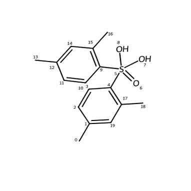 Cc1ccc(S(=O)(O)(O)c2ccc(C)cc2C)c(C)c1